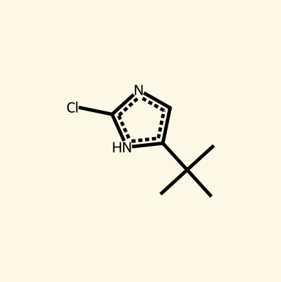 CC(C)(C)c1cnc(Cl)[nH]1